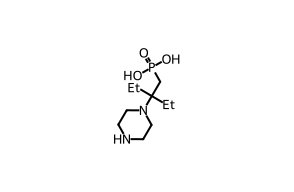 CCC(CC)(CP(=O)(O)O)N1CCNCC1